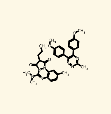 CCCC1C(=O)N2C(N(C)C)=Nc3ccc(C)cc3N2C1=O.COc1ccc(-c2nnc(C)nc2-c2ccc(OC)cc2)cc1